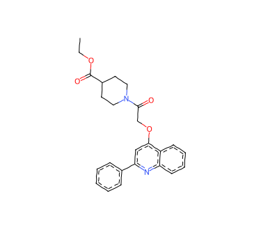 CCOC(=O)C1CCN(C(=O)COc2cc(-c3ccccc3)nc3ccccc23)CC1